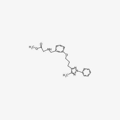 COC(=O)CNCc1cccc(OCCCc2nn(-c3ccccc3)nc2C)c1